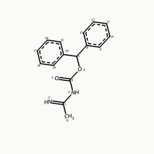 CC(=N)NC(=O)OC(c1ccccc1)c1ccccc1